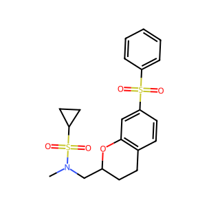 CN(CC1CCc2ccc(S(=O)(=O)c3ccccc3)cc2O1)S(=O)(=O)C1CC1